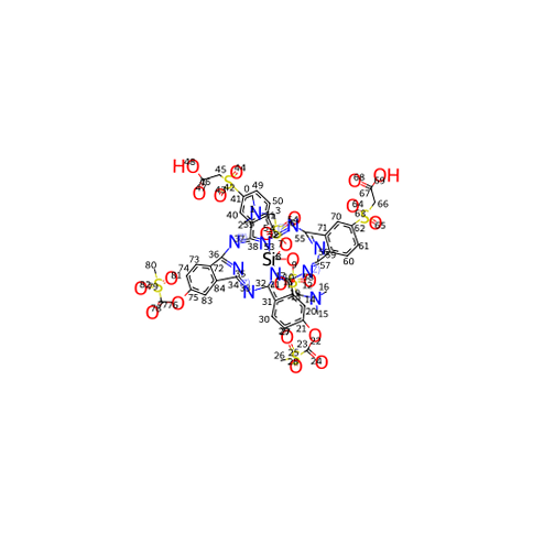 CN(C)CS(=O)(=O)O[Si]1(OS(=O)(=O)CN(C)C)n2c3c4cc(OC(=O)S(C)(=O)=O)ccc4c2/N=C2N=C(/N=c4/c5cc(S(=O)(=O)CC(=O)O)ccc5/c(n41)=N/C1=NC(=N\3)/c3ccc(S(=O)(=O)CC(=O)O)cc31)c1ccc(OC(=O)S(C)(=O)=O)cc1\2